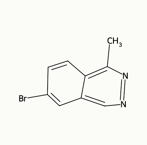 Cc1nncc2cc(Br)ccc12